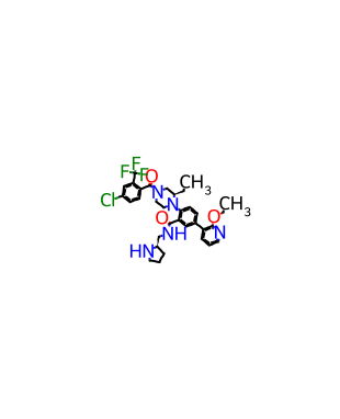 CCOc1ncccc1-c1ccc(N2CCN(C(=O)c3ccc(Cl)cc3C(F)(F)F)C[C@H]2CC)c(C(=O)NC[C@H]2CCCN2)c1